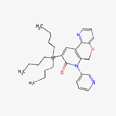 CCC[CH2][Sn]([CH2]CCC)([CH2]CCC)[c]1cc2c(n(-c3cccnc3)c1=O)COc1cccnc1-2